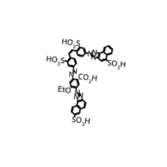 CCOc1cc(N=Nc2ccc(/C=C\c3ccc(-n4n5c6cc(S(=O)(=O)O)c7ccccc7c6n45)cc3S(=O)(=O)O)c(S(=O)(=O)O)c2)c(C(=O)O)cc1-n1n2c3ccc4cc(S(=O)(=O)O)ccc4c3n12